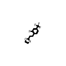 Fc1cc(C(F)(F)F)ccc1CCc1ncco1